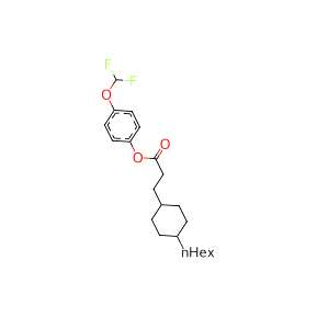 CCCCCCC1CCC(CCC(=O)Oc2ccc(OC(F)F)cc2)CC1